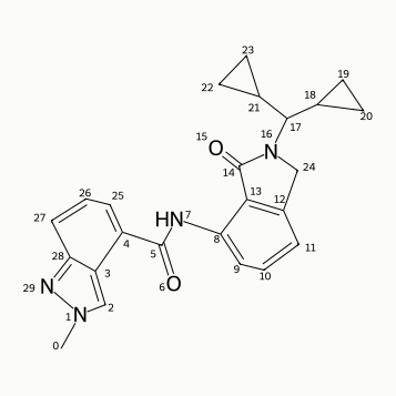 Cn1cc2c(C(=O)Nc3cccc4c3C(=O)N(C(C3CC3)C3CC3)C4)cccc2n1